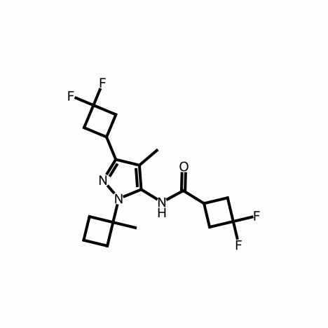 Cc1c(C2CC(F)(F)C2)nn(C2(C)CCC2)c1NC(=O)C1CC(F)(F)C1